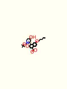 C=CCCCOc1ccc2c(C(=O)OC)ccc([C@@H]3C[C@@H](O)CCN3C(=O)OC(C)(C)C)c2c1